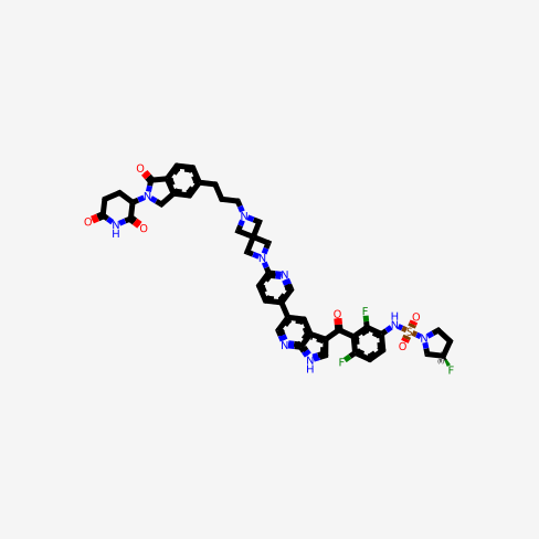 O=C1CCC(N2Cc3cc(CCCN4CC5(C4)CN(c4ccc(-c6cnc7[nH]cc(C(=O)c8c(F)ccc(NS(=O)(=O)N9CC[C@@H](F)C9)c8F)c7c6)cn4)C5)ccc3C2=O)C(=O)N1